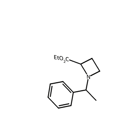 CCOC(=O)C1CCN1C(C)c1ccccc1